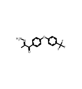 CC(=NN)C(=O)c1ccc(Oc2ccc(C(F)(F)F)cc2)cc1